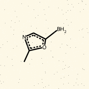 Bc1cnc(C)o1